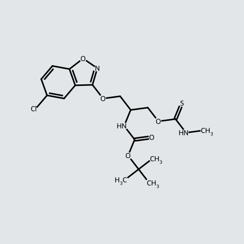 CNC(=S)OCC(COc1noc2ccc(Cl)cc12)NC(=O)OC(C)(C)C